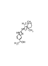 CC(O)c1ccc2[nH]c(SCCN3C(C)(C)CCCC3(C)C)nc2c1